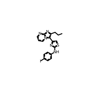 CCCc1nc2ncccn2c1-c1csc(Nc2ccc(I)cc2)n1